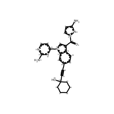 Nc1ccn(C(=O)c2cn(-c3ccnc(N)n3)c3cc(C#CC4(O)CCCCC4)ccc23)n1